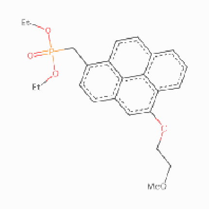 CCOP(=O)(Cc1ccc2cc(OCCOC)c3cccc4ccc1c2c43)OCC